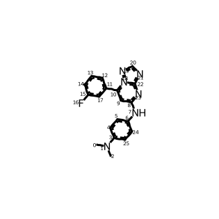 CN(C)c1ccc(Nc2cc(-c3cccc(F)c3)n3ncnc3n2)cc1